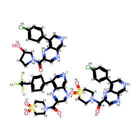 O=C(c1cnc2cncc(-c3ccc(C(F)(F)F)cc3)c2n1)N1CCS(=O)(=O)CC1.O=C(c1cnc2cncc(-c3ccc(Cl)cc3)c2n1)N1CCC(O)C1.O=C(c1cnc2cncc(-c3ccc(Cl)cc3)c2n1)N1CCS(=O)(=O)CC1